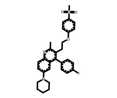 Cc1nc2ccc(N3CCCCC3)cc2c(-c2ccc(F)cc2)c1CCOc1ccc(S(C)(=O)=O)cc1